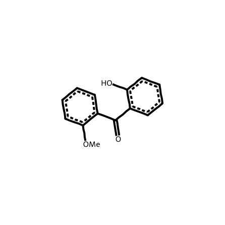 COc1ccccc1C(=O)c1ccccc1O